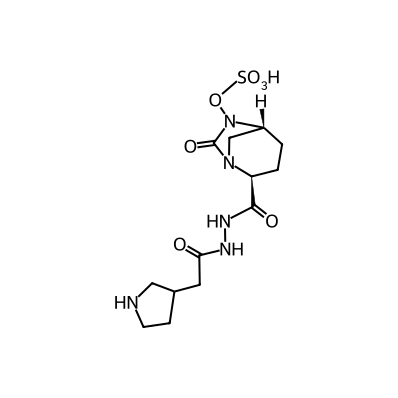 O=C(CC1CCNC1)NNC(=O)[C@@H]1CC[C@@H]2CN1C(=O)N2OS(=O)(=O)O